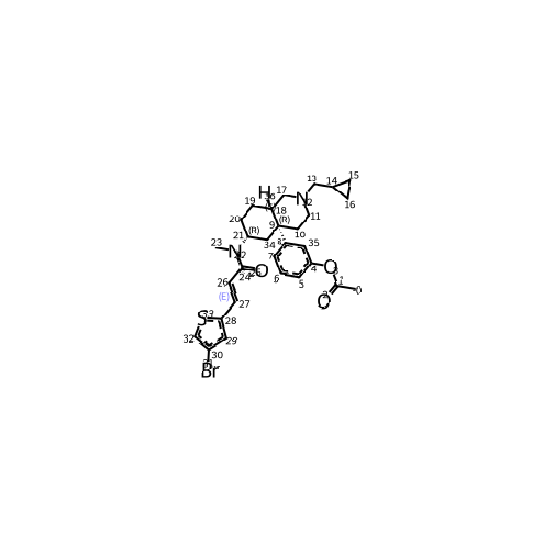 CC(=O)Oc1cccc([C@@]23CCN(CC4CC4)C[C@H]2CC[C@@H](N(C)C(=O)/C=C/c2cc(Br)cs2)C3)c1